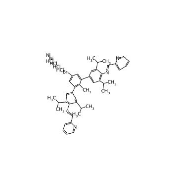 Cc1c(-c2cc(C(C)C)c(N=Cc3ccccn3)c(C(C)C)c2)cc(Br)cc1-c1cc(C(C)C)c(N=Cc2ccccn2)c(C(C)C)c1.Cl.Cl.Cl.Cl.[Ni].[Ni]